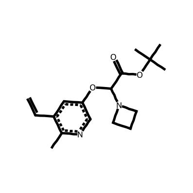 C=Cc1cc(OC(C(=O)OC(C)(C)C)N2CCC2)cnc1C